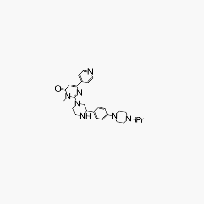 CC(C)N1CCN(c2ccc(C3CN(c4nc(-c5ccncc5)cc(=O)n4C)CCN3)cc2)CC1